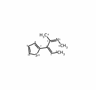 C/C=C(\C(C)=N/C)c1cccs1